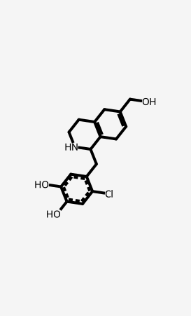 OCC1=CCC2=C(CCNC2Cc2cc(O)c(O)cc2Cl)C1